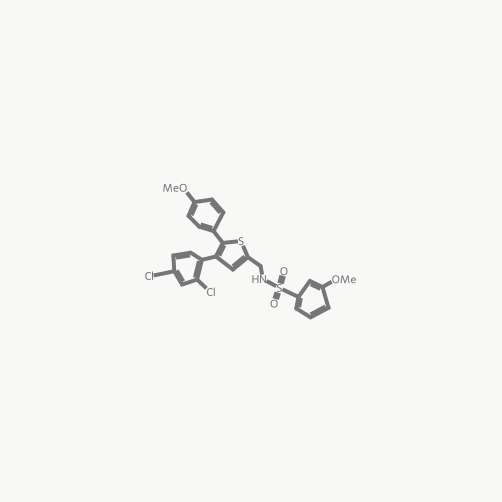 COc1ccc(-c2sc(CNS(=O)(=O)c3cccc(OC)c3)cc2-c2ccc(Cl)cc2Cl)cc1